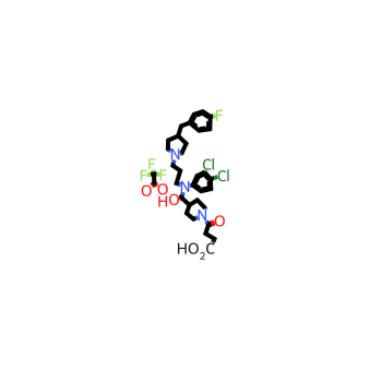 O=C(O)C(F)(F)F.O=C(O)CCC(=O)N1CCC(C(=O)N(CCCN2CCC(Cc3ccc(F)cc3)CC2)c2ccc(Cl)c(Cl)c2)CC1